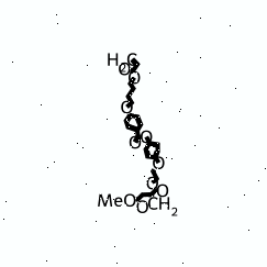 C=CC(=O)OCCCCOc1ccc(C(=O)Oc2ccc(OCCOC(=O)C(=C)CC(=O)OC)cc2)cc1